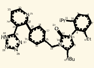 CCCCc1cn(-c2c(CC)cccc2C(C)C)c(=O)n1Cc1ccc(-c2ncccc2-c2nnn[nH]2)cc1